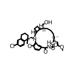 COCC[C@@H]1[C@@H](C)CCC[C@H](CO)[C@@H]2CC[C@H]2CN2C[C@@]3(CCCc4cc(Cl)ccc43)COc3ccc(cc32)C(=O)NS1(=O)=O